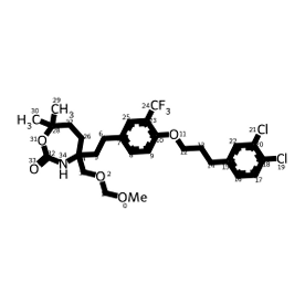 COCOCC1(CCc2ccc(OCCCc3ccc(Cl)c(Cl)c3)c(C(F)(F)F)c2)CCC(C)(C)OC(=O)N1